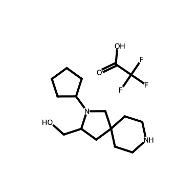 O=C(O)C(F)(F)F.OCC1CC2(CCNCC2)CN1C1CCCC1